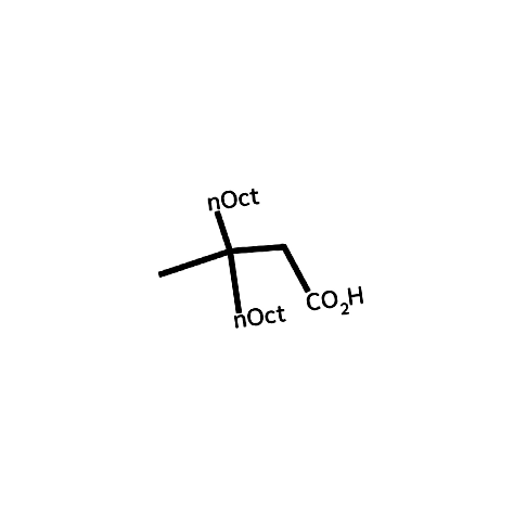 CCCCCCCCC(C)(CCCCCCCC)CC(=O)O